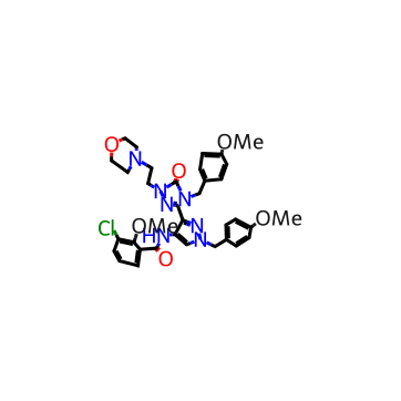 COc1ccc(Cn2cc(NC(=O)c3cccc(Cl)c3OC)c(-c3nn(CCN4CCOCC4)c(=O)n3Cc3ccc(OC)cc3)n2)cc1